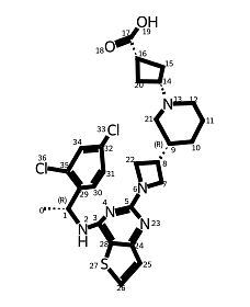 C[C@@H](Nc1nc(N2CC([C@H]3CCCN([C@H]4C[C@@H](C(=O)O)C4)C3)C2)nc2ccsc12)c1ccc(Cl)cc1Cl